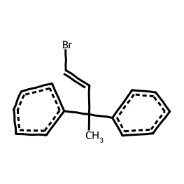 CC(C=CBr)(c1ccccc1)c1ccccc1